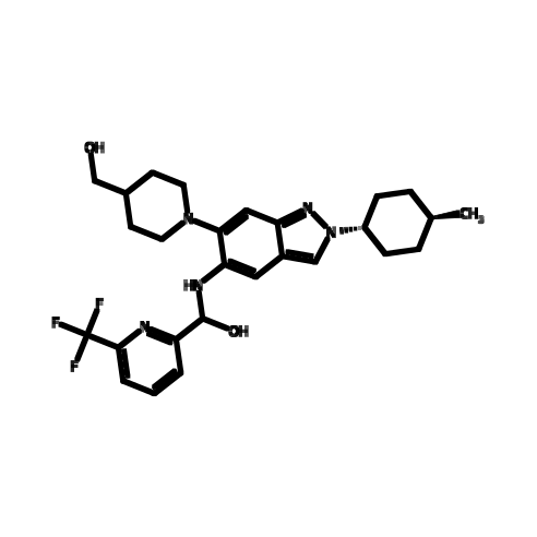 C[C@H]1CC[C@H](n2cc3cc(NC(O)c4cccc(C(F)(F)F)n4)c(N4CCC(CO)CC4)cc3n2)CC1